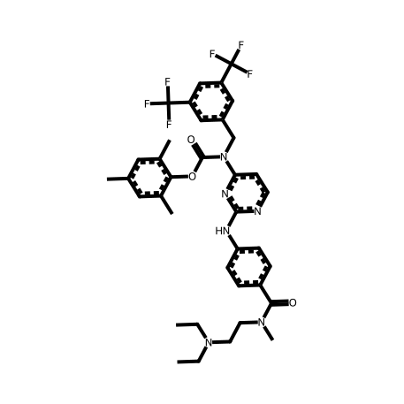 CCN(CC)CCN(C)C(=O)c1ccc(Nc2nccc(N(Cc3cc(C(F)(F)F)cc(C(F)(F)F)c3)C(=O)Oc3c(C)cc(C)cc3C)n2)cc1